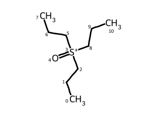 CCC[S+](=O)(CCC)CCC